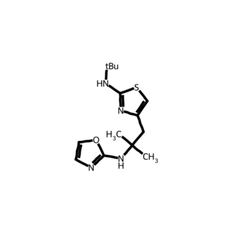 CC(C)(C)Nc1nc(CC(C)(C)Nc2ncco2)cs1